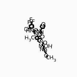 COCCOc1ncnc(C(=O)N2CCC3(CC2)CC(C)c2c3c(=O)n3nc(C4=CCOCC4)nc3n2CC(=O)Nc2ccc(C(F)(F)F)cc2Cl)c1O